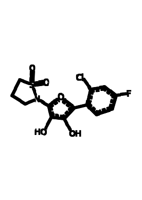 O=S1(=O)CCCN1c1oc(-c2ccc(F)cc2Cl)c(O)c1O